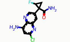 NC(=O)C1(c2cnc3c(N)cc(Cl)nc3c2)CC1F